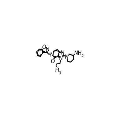 CCn1c(N2CCCC(N)C2)nc2ccn(Cc3noc4ccccc34)c(=O)c21